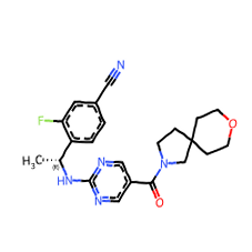 C[C@@H](Nc1ncc(C(=O)N2CCC3(CCOCC3)C2)cn1)c1ccc(C#N)cc1F